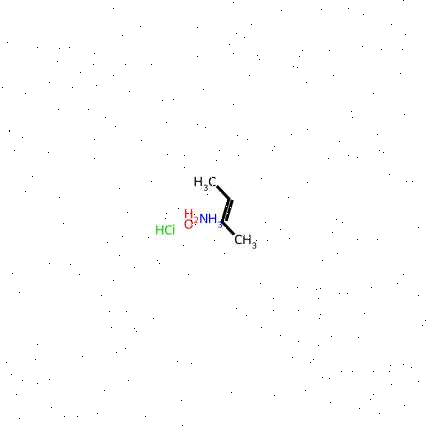 CC=CC.Cl.N.O